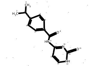 CC(C)c1ccc(C(=O)Nc2cc[nH]c(=O)n2)cc1